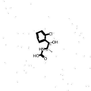 C[C@H](NC(=O)O)[C@@H](O)c1ccccc1Cl